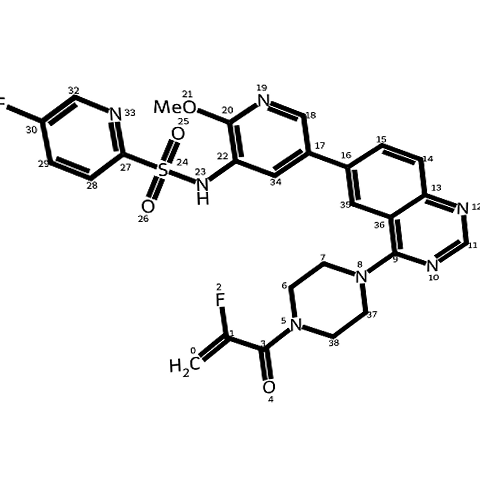 C=C(F)C(=O)N1CCN(c2ncnc3ccc(-c4cnc(OC)c(NS(=O)(=O)c5ccc(F)cn5)c4)cc23)CC1